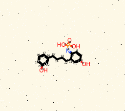 O=P(O)(O)N=C1C=CC(O)=CC1CCCCc1cccc(O)c1